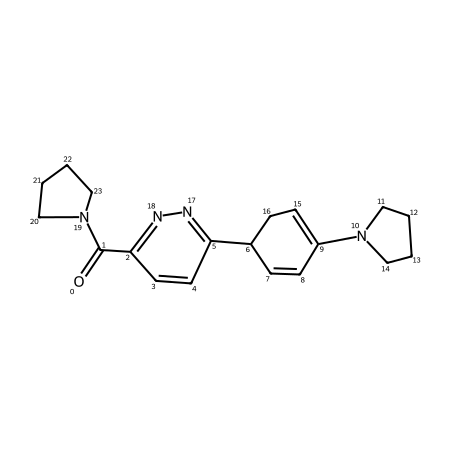 O=C(c1ccc(C2C=CC(N3CCCC3)=CC2)nn1)N1CCCC1